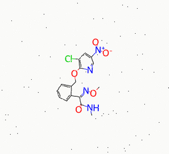 CNC(=O)C(=NOC)c1ccccc1COc1ncc([N+](=O)[O-])cc1Cl